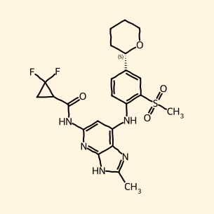 Cc1nc2c(Nc3ccc([C@@H]4CCCCO4)cc3S(C)(=O)=O)cc(NC(=O)C3CC3(F)F)nc2[nH]1